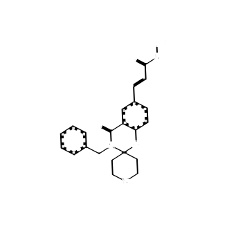 O=C(C=Cc1ccc2c(c1)C(=O)N(Cc1ccccc1)C1(CCNCC1)O2)NO